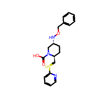 O=C(O)N1C[C@H](NOCc2ccccc2)CC[C@H]1C=[SH]c1ccccn1